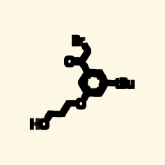 CC(C)(C)c1cc(OCCCO)cc(C(=O)CBr)c1